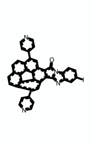 O=c1c2c3cc(-c4ccncc4)c4ccc5ccc6c(-c7ccncc7)cc(c7c6c5c4c37)c2c2nc3cc(I)ccc3n12